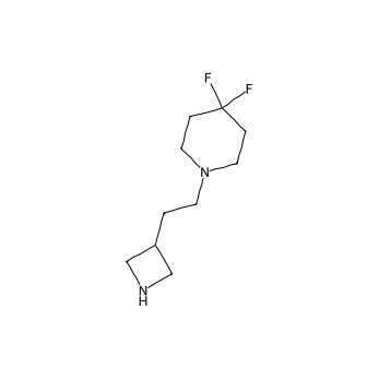 FC1(F)CCN(CCC2CNC2)CC1